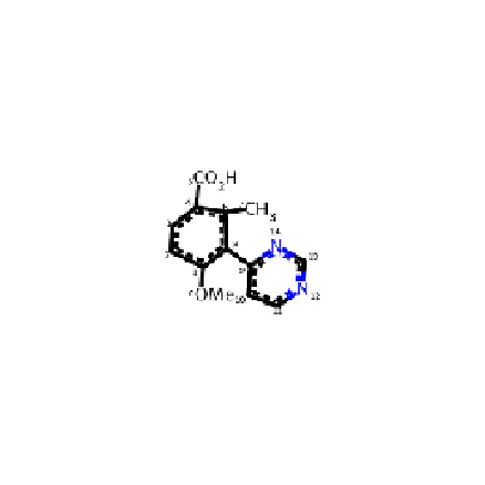 COc1ccc(C(=O)O)c(C)c1-c1ccncn1